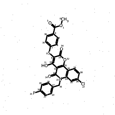 COC(=O)c1ccc(Sc2c(O)c3c(=O)n(Cc4ccc(F)cc4)c4cc(Cl)ccc4c3oc2=O)cc1